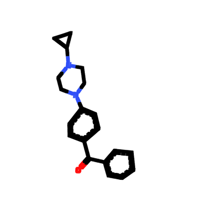 O=C(c1ccccc1)c1ccc(N2CCN(C3CC3)CC2)cc1